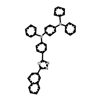 c1ccc(N(c2ccccc2)c2ccc(N(c3ccccc3)c3ccc(-c4nnc(-c5ccc6ccccc6c5)o4)cc3)cc2)cc1